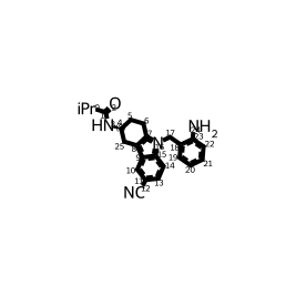 CC(C)C(=O)N[C@H]1CCc2c(c3cc(C#N)ccc3n2Cc2ccccc2N)C1